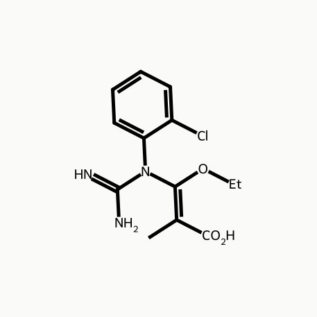 CCO/C(=C(/C)C(=O)O)N(C(=N)N)c1ccccc1Cl